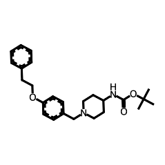 CC(C)(C)OC(=O)NC1CCN(Cc2ccc(OCCc3ccccc3)cc2)CC1